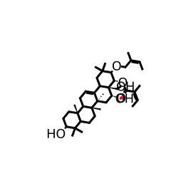 C/C=C(/C)CO[C@H]1[C@H](OC(=O)/C(C)=C\C)[C@@]2(CO)C(CC1(C)C)C1=CCC3[C@@]4(C)CC[C@H](O)C(C)(C)C4CC[C@@]3(C)[C@]1(C)C[C@H]2O